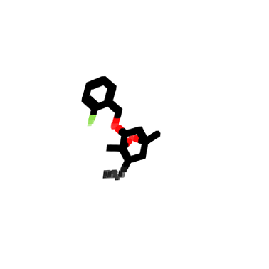 CCOC(=O)C1CC2(C)CC(OCc3ccccc3F)C1(C)O2